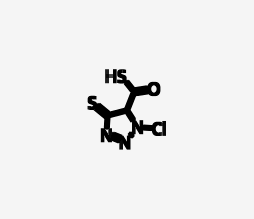 O=C(S)C1C(=S)N=NN1Cl